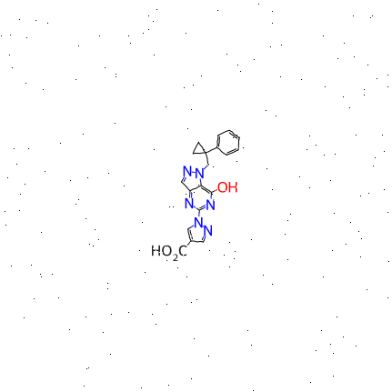 O=C(O)c1cnn(-c2nc(O)c3c(cnn3CC3(c4ccccc4)CC3)n2)c1